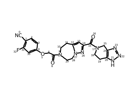 N#Cc1ccc(OCC(=O)N2CCc3cc(C(=O)N4CCc5[nH]nnc5C4)nn3CC2)cc1F